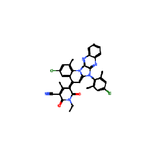 CCN1C(=O)C(C#N)=C(C)/C(=C2/C=C3N(c4c(C)cc(Cl)cc4C)c4nc5ccccc5nc4N3c3c(C)cc(Cl)cc32)C1=O